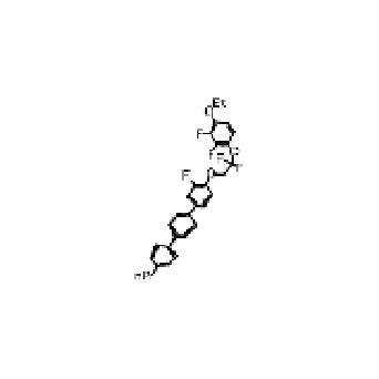 CCCc1ccc(-c2ccc(-c3ccc(OCC(F)(F)Oc4ccc(OCC)c(F)c4F)c(F)c3)cc2)cc1